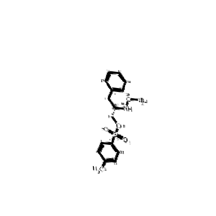 Cc1ccc(S(=O)(=O)OC[C@H](Cc2ccccc2)NOC(C)(C)C)cc1